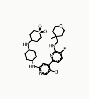 CC1(CNc2nc(-c3cc(N[C@H]4CC[C@H](NC5CCS(=O)(=O)CC5)CC4)ncc3Cl)ccc2F)CCOCC1